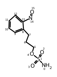 NS(=O)(=O)OCCCc1ccccc1N=O